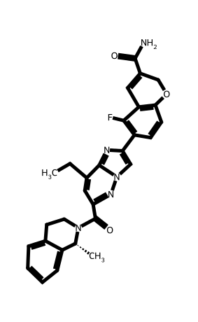 CCc1cc(C(=O)N2CCc3ccccc3[C@H]2C)nn2cc(-c3ccc4c(c3F)C=C(C(N)=O)CO4)nc12